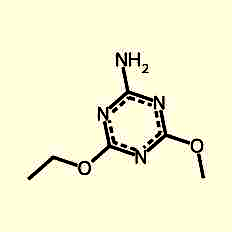 CCOc1nc(N)nc(OC)n1